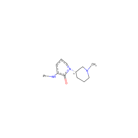 CC(C)Nc1cccn([C@H]2CCCN(C)C2)c1=O